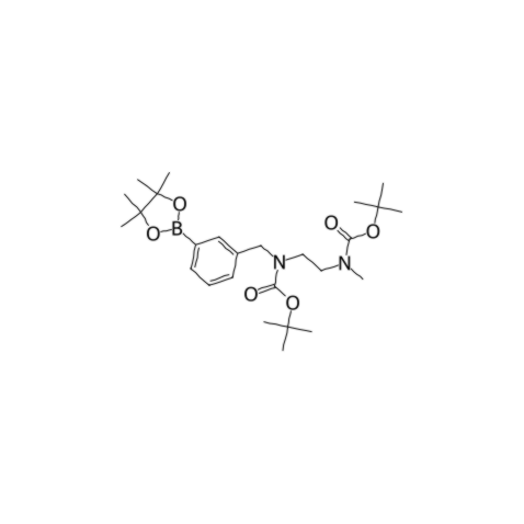 CN(CCN(Cc1cccc(B2OC(C)(C)C(C)(C)O2)c1)C(=O)OC(C)(C)C)C(=O)OC(C)(C)C